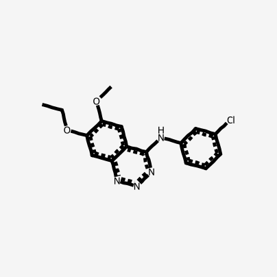 CCOc1cc2nnnc(Nc3cccc(Cl)c3)c2cc1OC